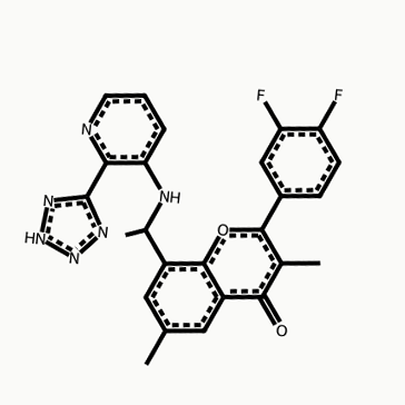 Cc1cc(C(C)Nc2cccnc2-c2nn[nH]n2)c2oc(-c3ccc(F)c(F)c3)c(C)c(=O)c2c1